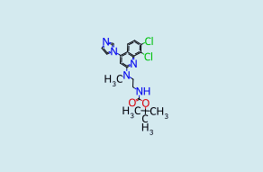 CN(CCNC(=O)OC(C)(C)C)c1cc(-n2ccnc2)c2ccc(Cl)c(Cl)c2n1